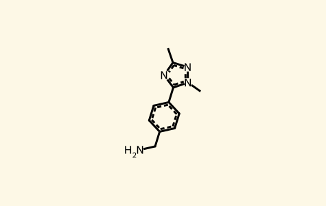 Cc1nc(-c2ccc(CN)cc2)n(C)n1